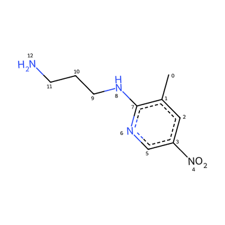 Cc1cc([N+](=O)[O-])cnc1NCCCN